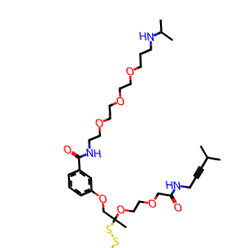 CSSC(C)(COc1cccc(C(=O)NCCOCCOCCOCCCNC(C)C)c1)OCCOCC(=O)NCC#CC(C)C